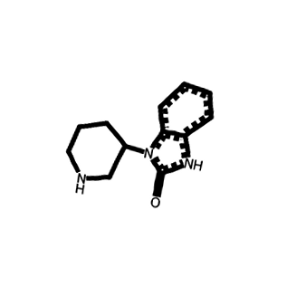 O=c1[nH]c2ccccc2n1C1CCCNC1